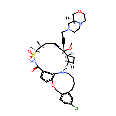 CO[C@@]1(C#CCN2CCN3CCOC[C@@H]3C2)/C=C/C[C@H](C)[C@@H](C)S(=O)(=O)NC(=O)c2ccc3c(c2)N(CCCCc2cc(Cl)ccc2CO3)C[C@@H]2CC[C@H]21